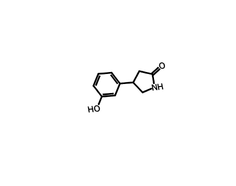 O=C1CC(c2cccc(O)c2)CN1